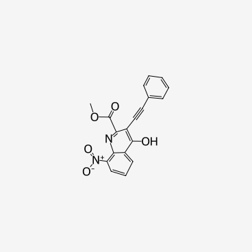 COC(=O)c1nc2c([N+](=O)[O-])cccc2c(O)c1C#Cc1ccccc1